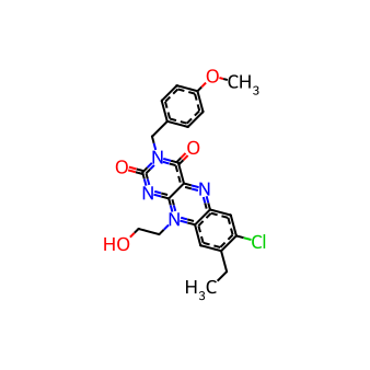 CCc1cc2c(cc1Cl)nc1c(=O)n(Cc3ccc(OC)cc3)c(=O)nc-1n2CCO